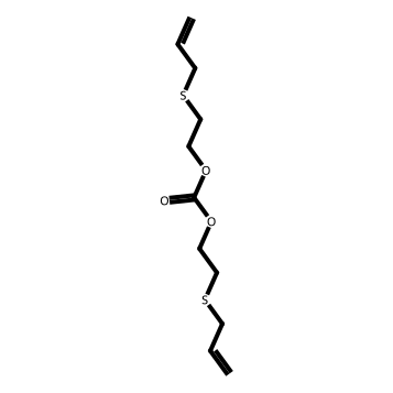 C=CCSCCOC(=O)OCCSCC=C